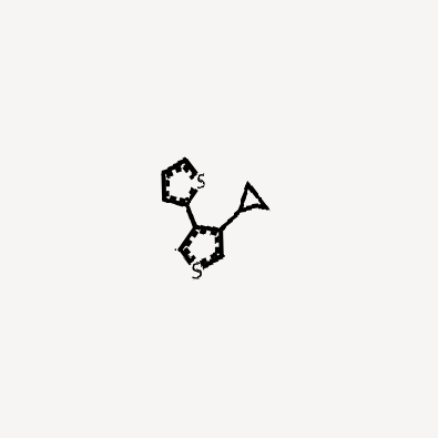 [c]1scc(C2CC2)c1-c1cccs1